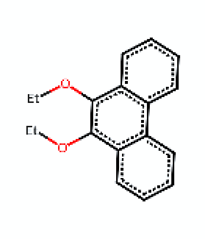 CCOc1c(OCC)c2ccccc2c2ccccc12